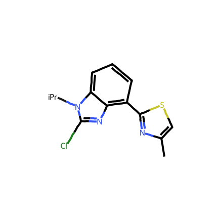 Cc1csc(-c2cccc3c2nc(Cl)n3C(C)C)n1